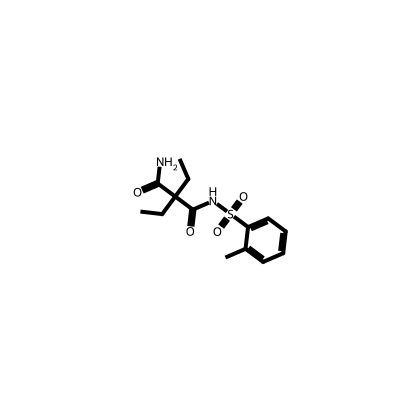 CCC(CC)(C(N)=O)C(=O)NS(=O)(=O)c1ccccc1C